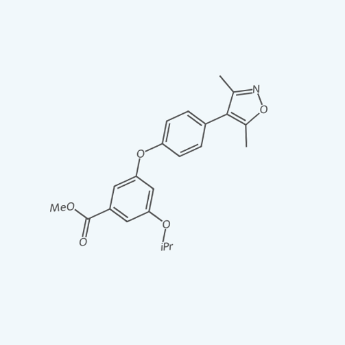 COC(=O)c1cc(Oc2ccc(-c3c(C)noc3C)cc2)cc(OC(C)C)c1